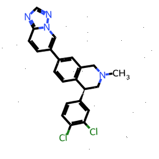 CN1Cc2cc(-c3ccc4ncnn4c3)ccc2[C@H](c2ccc(Cl)c(Cl)c2)C1